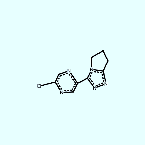 Clc1cnc(-c2nnc3n2CCC3)cn1